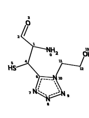 NC(C=O)C(S)c1nnnn1CCO